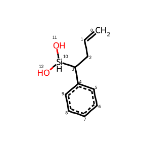 C=CCC(c1ccccc1)[SiH](O)O